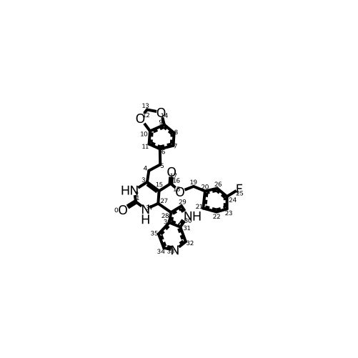 O=C1NC(CCc2ccc3c(c2)OCO3)=C(C(=O)OCc2cccc(F)c2)C(c2c[nH]c3cnccc23)N1